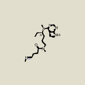 CC[C@H](CCCN(C)C(=O)CC/C=N/C)N(C)c1ncnc2[nH]ccc12